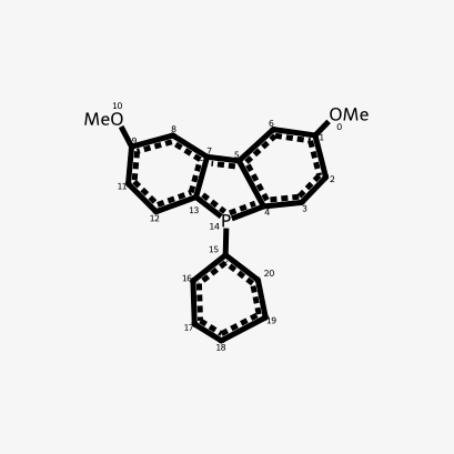 COc1ccc2c(c1)c1cc(OC)ccc1p2-c1ccccc1